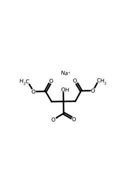 COC(=O)CC(O)(CC(=O)OC)C(=O)[O-].[Na+]